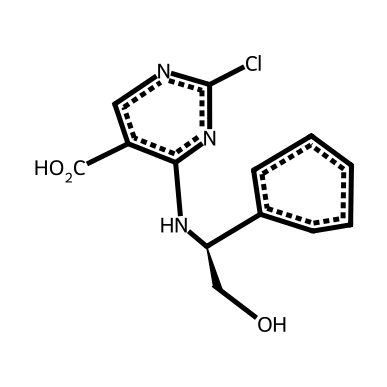 O=C(O)c1cnc(Cl)nc1N[C@H](CO)c1ccccc1